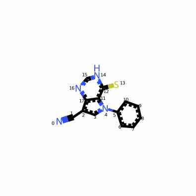 N#Cc1cn(-c2ccccc2)c2c(=S)[nH]cnc12